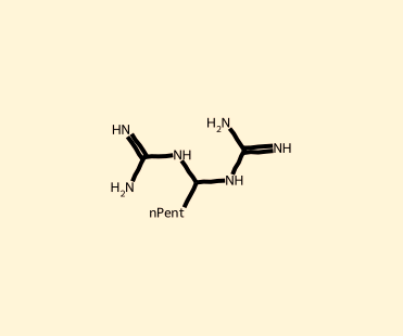 CCCCCC(NC(=N)N)NC(=N)N